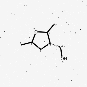 CC1C[C@@H](CO)C(C)O1